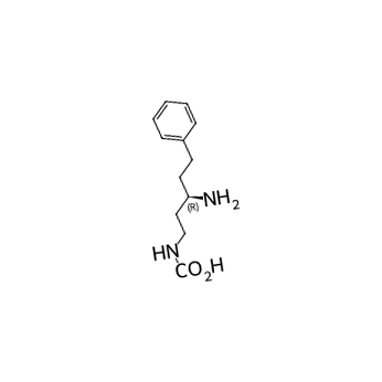 N[C@@H](CCNC(=O)O)CCc1ccccc1